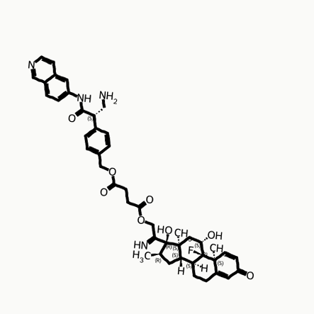 C[C@@H]1C[C@H]2[C@@H]3CCC4=CC(=O)C=C[C@]4(C)[C@@]3(F)[C@@H](O)C[C@]2(C)[C@@]1(O)C(=N)COC(=O)CCC(=O)OCc1ccc([C@@H](CN)C(=O)Nc2ccc3cnccc3c2)cc1